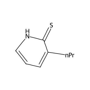 CCCc1ccc[nH]c1=S